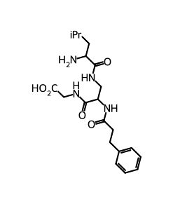 CC(C)CC(N)C(=O)NCC(NC(=O)CCc1ccccc1)C(=O)NCC(=O)O